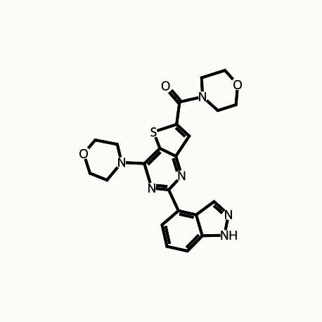 O=C(c1cc2nc(-c3cccc4[nH]ncc34)nc(N3CCOCC3)c2s1)N1CCOCC1